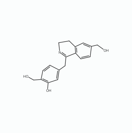 OCc1ccc2c(c1)CCN=C2Cc1ccc(CO)c(O)c1